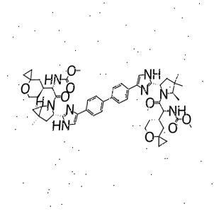 COC(=O)N[C@H](C(=O)N1[C@H](c2nc(-c3ccc(-c4ccc(-c5c[nH]c([C@@H]6C[C@@]7(C)C[C@H]7N6C(=O)[C@@H](NC(=O)OC)[C@H]6CCOC7(CC7)C6)n5)cc4)cc3)c[nH]2)CC(C)(C)[C@H]1C)[C@H]1CCOC2(CC2)C1